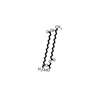 CCCCCCCCCCCCCCCC(=O)OCC(O)CO.CCCCCCCCCCCCCCCCCC(=O)O